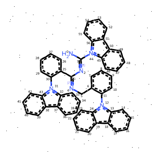 N/C(=N\C(=N/Cc1ccccc1-n1c2ccccc2c2ccccc21)c1ccccc1-n1c2ccccc2c2ccccc21)n1c2ccccc2c2ccccc21